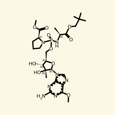 COC(=O)[C@@H]1CCCN1P(=O)(N[C@@H](C)C(=O)OCC(C)(C)C)OC[C@H]1O[C@@H](n2cnc3c(OC)nc(N)nc32)[C@](C)(O)[C@@H]1O